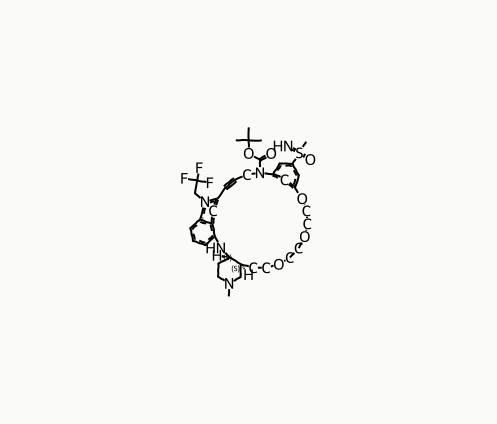 CN1CC[C@@H]2Nc3cccc4c3cc(n4CC(F)(F)F)C#CCN(C(=O)OC(C)(C)C)c3cc(cc(S(C)(=N)=O)c3)OCCOCCOCC[C@H]2C1